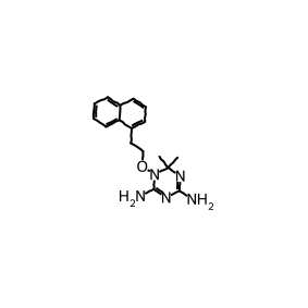 CC1(C)N=C(N)N=C(N)N1OCCc1cccc2ccccc12